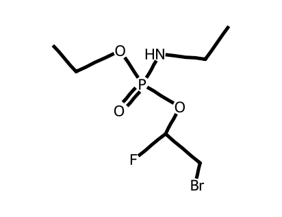 CCNP(=O)(OCC)OC(F)CBr